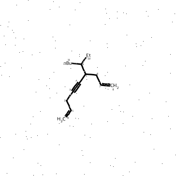 C=CCC#CC(CC=C)C(CC)CCCC